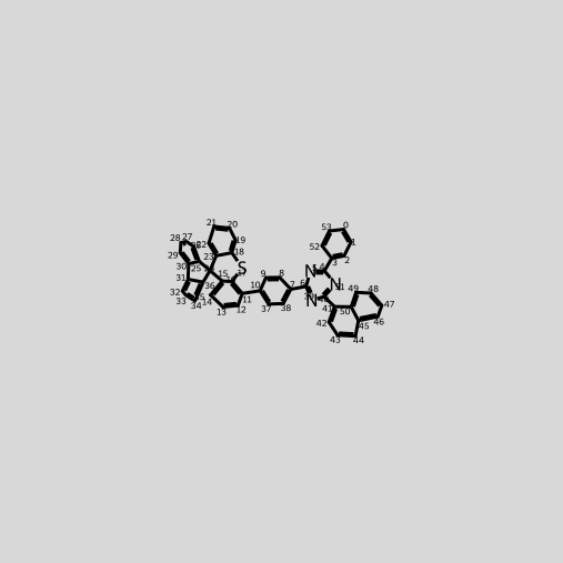 c1ccc(-c2nc(-c3ccc(-c4cccc5c4Sc4ccccc4C54c5ccccc5-c5ccccc54)cc3)nc(-c3cccc4ccccc34)n2)cc1